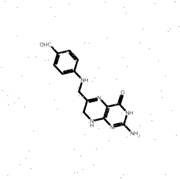 Nc1nc2c(c(=O)[nH]1)N=C(CNc1ccc(C=O)cc1)CN2